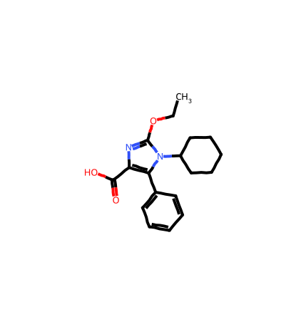 CCOc1nc(C(=O)O)c(-c2ccccc2)n1C1CCCCC1